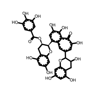 O=C(O[C@@H]1Cc2c(O)cc(O)cc2O[C@@H]1c1cc(O)c(O)c2c(=O)c(O)cc(C3Oc4cc(O)cc(O)c4CC3O)cc12)c1cc(O)c(O)c(O)c1